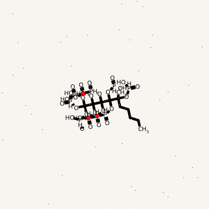 CCCCCC(C)(O[PH](=O)O)C(O[PH](=O)O)(O[PH](=O)O)C(O[PH](=O)O)(O[PH](=O)O)C(O[PH](=O)O)(O[PH](=O)O)C(O[PH](=O)O)(O[PH](=O)O)O[PH](=O)O